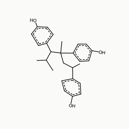 CC(CC(C)(c1ccc(O)cc1)C(c1ccc(O)cc1)C(C)C)c1ccc(O)cc1